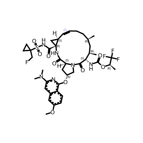 COc1ccc2c(O[C@@H]3C[C@H]4C(=O)N[C@]5(C(=O)NS(=O)(=O)C6(CF)CC6)C[C@H]5/C=C\CC[C@@H](C)C[C@@H](C)[C@H](NC(=O)O[C@H](C)C(F)(F)F)C(=O)N4C3)nc(N(C)C)cc2c1